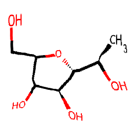 C[C@@H](O)[C@H]1OC(CO)C(O)[C@@H]1O